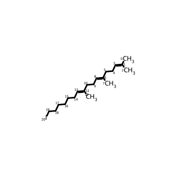 CC(C)=CCC/C(C)=C/CC/C(C)=C/CCCCCCI